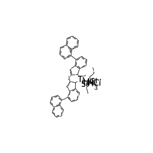 CC1=Cc2c(-c3cccc4ccccc34)cccc2[CH]1[Ti]([CH3])([SiH3])[CH]1C(C)=Cc2c(-c3cccc4ccccc34)cccc21.CCCCCC.Cl.Cl